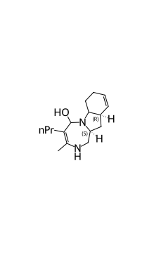 CCCC1=C(C)NC[C@@H]2C[C@@H]3C=CCCC3N2C1O